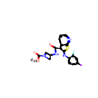 CC(C)(C)OC(=O)N1CC(NC(=O)c2c(Nc3ccc(I)cc3F)sc3ncccc23)C1